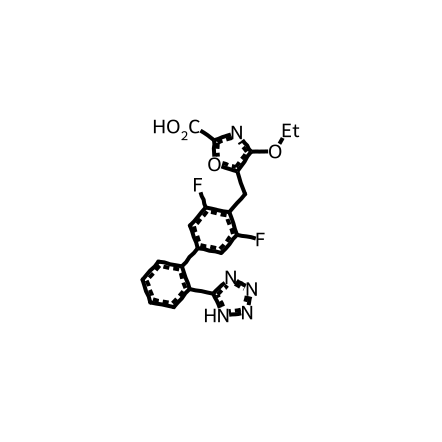 CCOc1nc(C(=O)O)oc1Cc1c(F)cc(-c2ccccc2-c2nnn[nH]2)cc1F